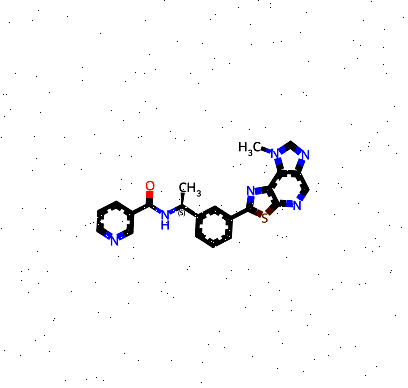 C[C@H](NC(=O)c1cccnc1)c1cccc(-c2nc3c(ncc4ncn(C)c43)s2)c1